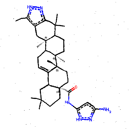 Cc1[nH]nc2c1C[C@@]1(C)C(CC[C@]3(C)C1CC=C1C4CC(C)(C)CC[C@]4(C(=O)Nc4cc(N)n[nH]4)CC[C@]13C)C2(C)C